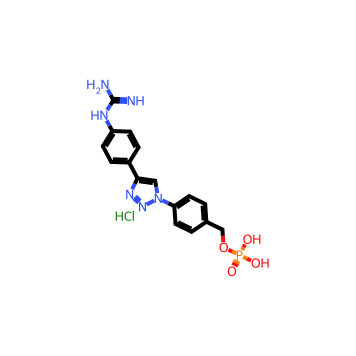 Cl.N=C(N)Nc1ccc(-c2cn(-c3ccc(COP(=O)(O)O)cc3)nn2)cc1